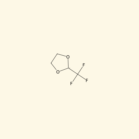 FC(F)(F)[C]1OCCO1